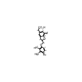 CCCc1c(OCC2Cc3cc(CC(=O)O)cc(F)c3O2)ccc(C(C)=O)c1O